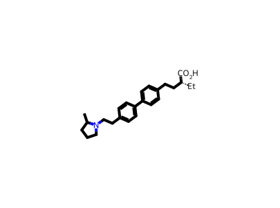 CC[C@H](CCc1ccc(-c2ccc(CCN3CCCC3C)cc2)cc1)C(=O)O